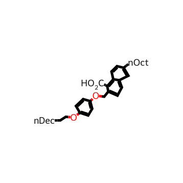 CCCCCCCCCCCCOc1ccc(OCc2ccc3cc(CCCCCCCC)ccc3c2C(=O)O)cc1